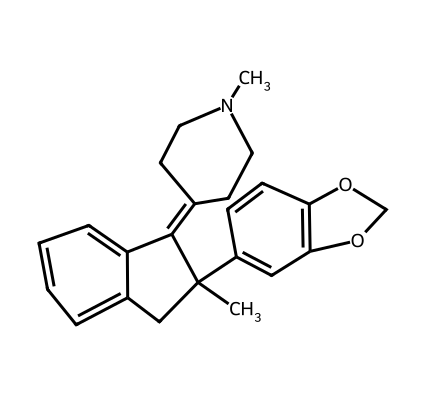 CN1CCC(=C2c3ccccc3CC2(C)c2ccc3c(c2)OCO3)CC1